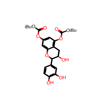 CC(C)COC(=O)Oc1cc(OC(=O)OCC(C)C)c2c(c1)OC(c1ccc(O)c(O)c1)[C@H](O)C2